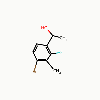 Cc1c(Br)ccc(C(C)O)c1F